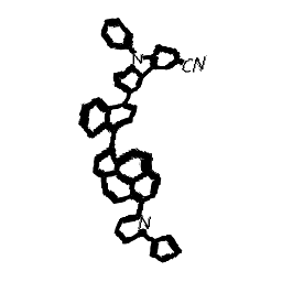 N#Cc1ccc2c(c1)c1cc(-c3ccc(-c4ccc5ccc6c(-c7cccc(-c8ccccc8)n7)ccc7ccc4c5c76)c4ccccc34)ccc1n2-c1ccccc1